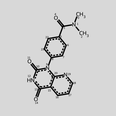 CN(C)C(=O)c1ccc(-n2c(=O)[nH]c(=O)c3cccnc32)cc1